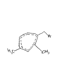 Cc1ccc(CC(C)C)c(C)c1